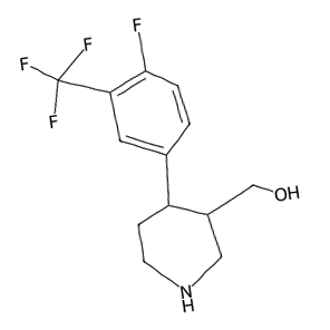 OCC1CNCCC1c1ccc(F)c(C(F)(F)F)c1